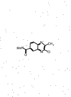 CNC(=O)c1ccc2nc(C)c(Cl)nc2c1